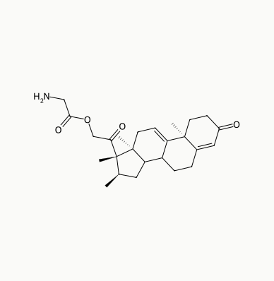 C[C@@H]1CC2C3CCC4=CC(=O)CC[C@]4(C)C3=CC[C@]2(C)[C@@]1(C)C(=O)COC(=O)CN